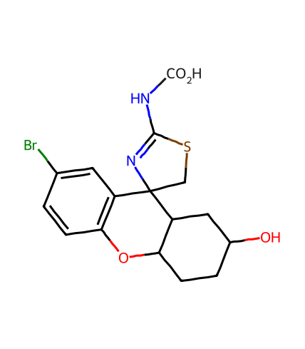 O=C(O)NC1=NC2(CS1)c1cc(Br)ccc1OC1CCC(O)CC12